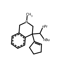 CCCCC(CCC)C1(C2=CCCC2)CN(C)Cc2ccccc21